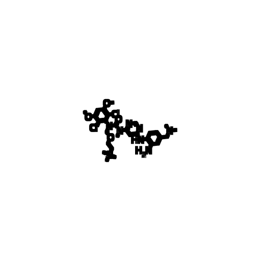 COc1cc(OC)c(Cl)c(N(COCC[Si](C)(C)C)C(=O)N(C)c2cc(Nc3ccc(CN(C)C)cc3N)ncn2)c1Cl